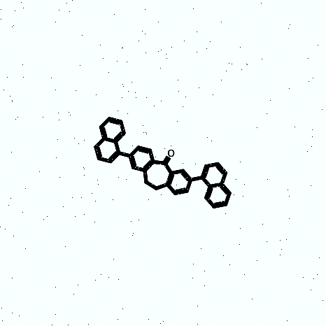 O=C1c2ccc(-c3cccc4ccccc34)cc2CCc2ccc(-c3cccc4ccccc34)cc21